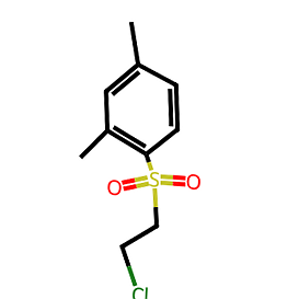 Cc1ccc(S(=O)(=O)CCCl)c(C)c1